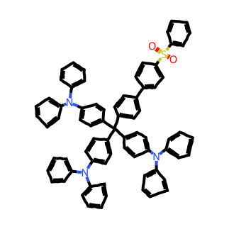 O=S(=O)(c1ccccc1)c1ccc(-c2ccc(C(c3ccc(N(c4ccccc4)c4ccccc4)cc3)(c3ccc(N(c4ccccc4)c4ccccc4)cc3)c3ccc(N(c4ccccc4)c4ccccc4)cc3)cc2)cc1